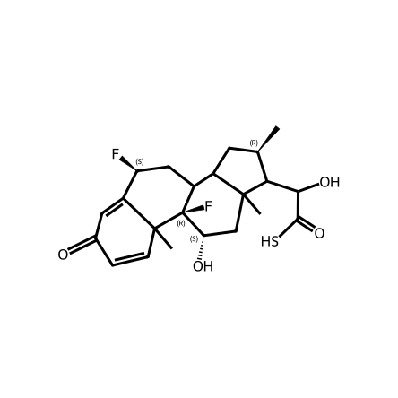 C[C@@H]1CC2C3C[C@H](F)C4=CC(=O)C=CC4(C)[C@@]3(F)[C@@H](O)CC2(C)C1C(O)C(=O)S